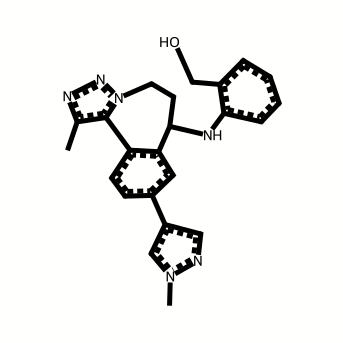 Cc1nnn2c1-c1ccc(-c3cnn(C)c3)cc1C(Nc1ccccc1CO)CC2